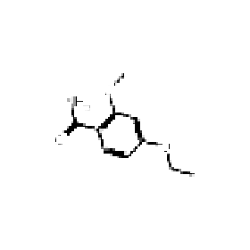 CCOc1ccc(C(N)=O)c(OC)c1